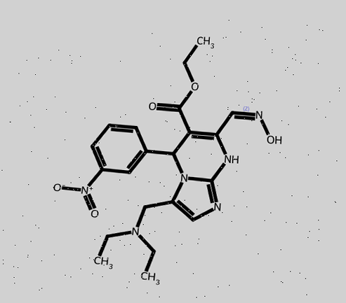 CCOC(=O)C1=C(/C=N\O)Nc2ncc(CN(CC)CC)n2C1c1cccc([N+](=O)[O-])c1